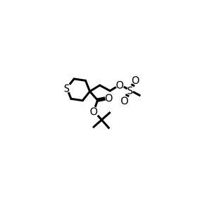 CC(C)(C)OC(=O)C1(CCOS(C)(=O)=O)CCSCC1